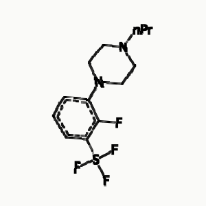 CCCN1CCN(c2cccc(S(F)(F)F)c2F)CC1